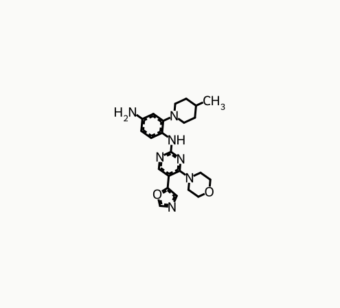 CC1CCN(c2cc(N)ccc2Nc2ncc(-c3cnco3)c(N3CCOCC3)n2)CC1